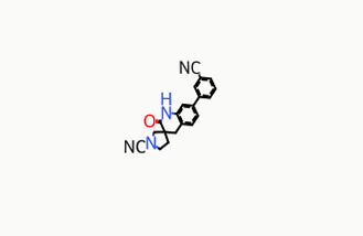 N#Cc1cccc(-c2ccc3c(c2)NC(=O)C2(CCN(C#N)C2)C3)c1